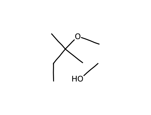 CCC(C)(C)OC.CO